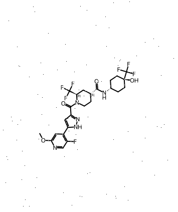 COc1cc(-c2cc(C(=O)N3CC[C@@H](C(=O)N[C@H]4CC[C@@](O)(C(F)(F)F)CC4)C[C@@H]3C(F)(F)F)n[nH]2)c(F)cn1